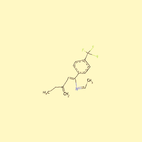 C=C(/C=C(\N=C/C)c1ccc(C(F)(F)F)cc1)CC